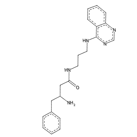 NC(CC(=O)NCCCNc1ncnc2ccccc12)Cc1ccccc1